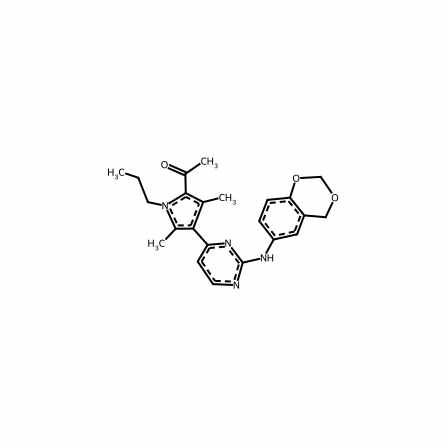 CCCn1c(C)c(-c2ccnc(Nc3ccc4c(c3)COCO4)n2)c(C)c1C(C)=O